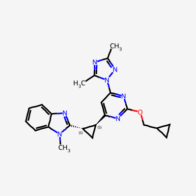 Cc1nc(C)n(-c2cc([C@H]3C[C@@H]3c3nc4ccccc4n3C)nc(OCC3CC3)n2)n1